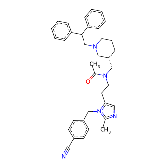 CC(=O)N(CCc1cnc(C)n1Cc1ccc(C#N)cc1)C[C@H]1CCCN(CC(c2ccccc2)c2ccccc2)C1